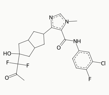 CC(=O)C(F)(F)C1(O)CC2CC(c3ncn(C)c3C(=O)Nc3ccc(F)c(Cl)c3)CC2C1